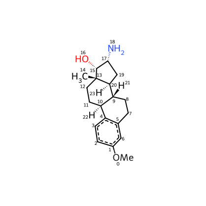 COc1ccc2c(c1)CC[C@@H]1[C@@H]2CC[C@]2(C)[C@H](O)[C@H](N)C[C@@H]12